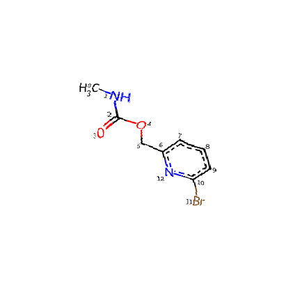 CNC(=O)OCc1cccc(Br)n1